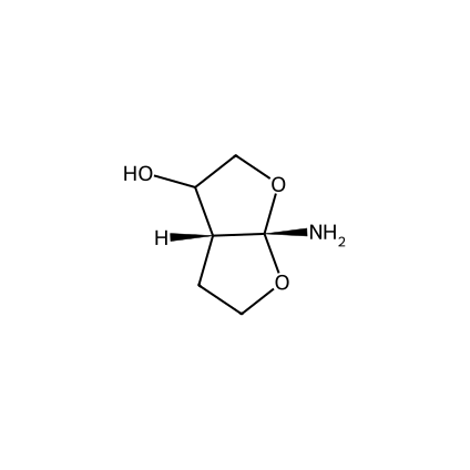 N[C@@]12OCC[C@@H]1C(O)CO2